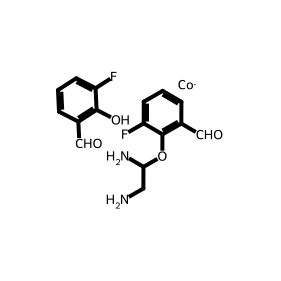 NCC(N)Oc1c(F)cccc1C=O.O=Cc1cccc(F)c1O.[Co]